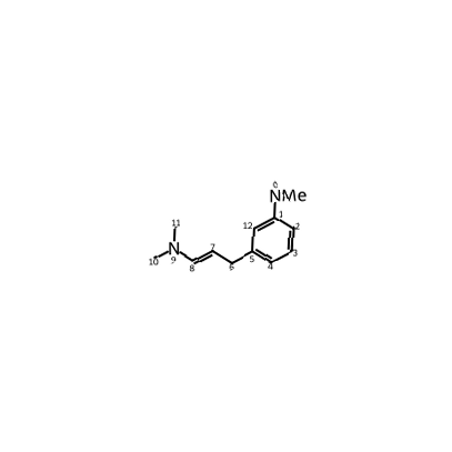 CNc1cccc(CC=CN(C)C)c1